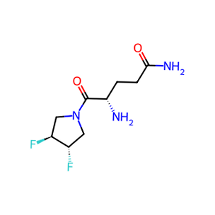 NC(=O)CC[C@H](N)C(=O)N1C[C@H](F)[C@@H](F)C1